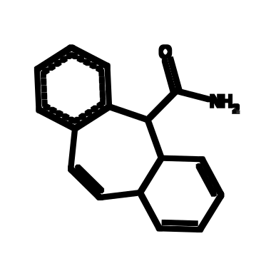 NC(=O)C1c2ccccc2C=CC2C=CC=CC21